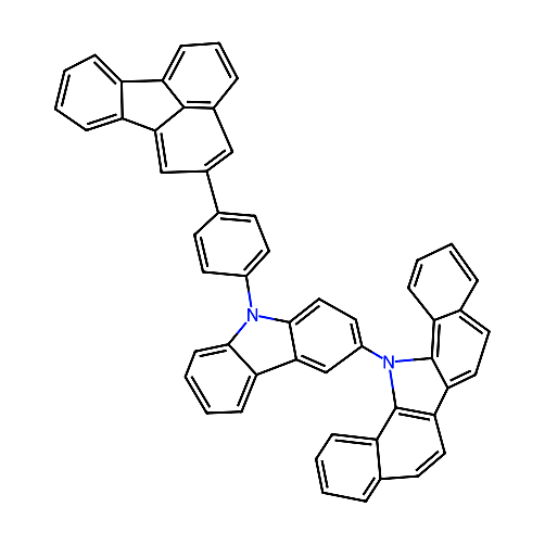 c1ccc2c(c1)-c1cccc3cc(-c4ccc(-n5c6ccccc6c6cc(-n7c8c9ccccc9ccc8c8ccc9ccccc9c87)ccc65)cc4)cc-2c13